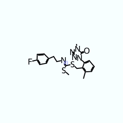 CS/C(=N\CCc1ccc(F)cc1)SCc1c(C)cccc1-n1nnn(C)c1=O